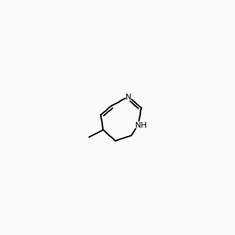 CC1C=CN=CNCC1